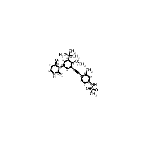 COc1c(C#Cc2ccc(NS(C)(=O)=O)cc2C)cc(-n2c(=O)cc[nH]c2=O)cc1C(C)(C)C